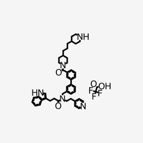 O=C(CCc1c[nH]c2ccccc12)N(CCc1ccncc1)Cc1cccc(-c2cccc(C(=O)N3CCC(CCCC4CCNCC4)CC3)c2)c1.O=C(O)C(F)(F)F